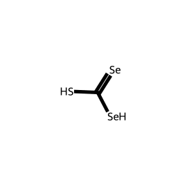 SC(=[Se])[SeH]